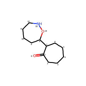 O=C1CCCCCC1C1CCCCNO1